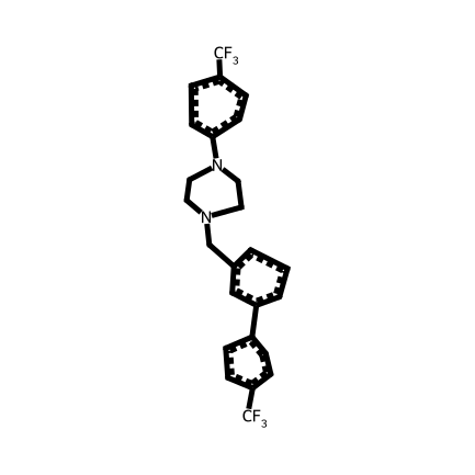 FC(F)(F)c1ccc(-c2cccc(CN3CCN(c4ccc(C(F)(F)F)cc4)CC3)c2)cc1